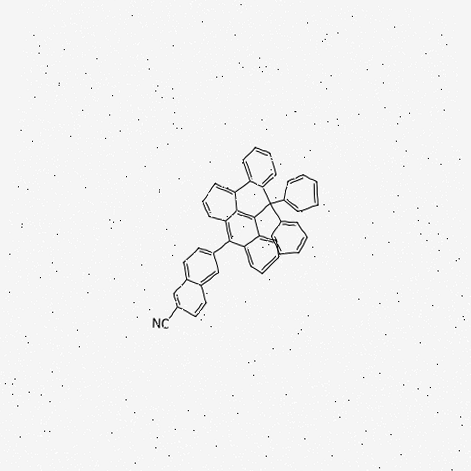 N#Cc1ccc2cc(-c3c4ccccc4c4c5c(cccc35)-c3ccccc3C4(c3ccccc3)c3ccccc3)ccc2c1